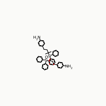 CC(C)(CCc1ccc(N)cc1)[Si](O[Si](c1ccccc1)(c1ccccc1)C(C)(C)CCc1ccc(N)cc1)(c1ccccc1)c1ccccc1